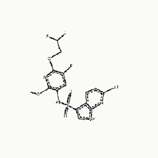 COc1nc(OCC(F)F)c(F)cc1NS(=O)(=O)c1c[nH]c2nc(Cl)ccc12